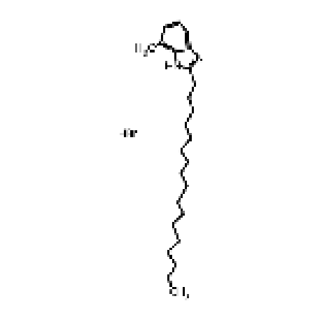 Br.CCCCCCCCCCCCCCCCCc1nc2cccc(C)c2[nH]1